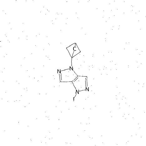 In1ncc2c1cnn2C12CC(C1)C2